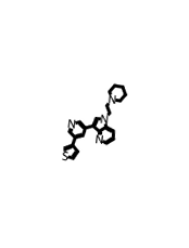 c1cnc2c(-c3cncc(-c4ccsc4)c3)cn(CCN3CCCCC3)c2c1